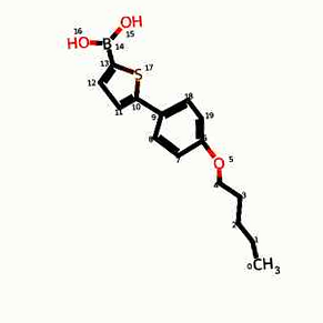 CCCCCOc1ccc(-c2ccc(B(O)O)s2)cc1